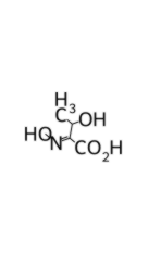 CC(O)C(=NO)C(=O)O